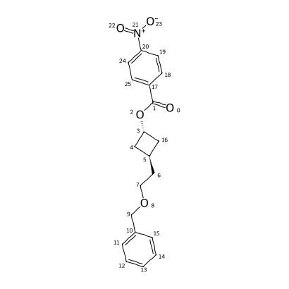 O=C(O[C@H]1C[C@H](CCOCc2ccccc2)C1)c1ccc([N+](=O)[O-])cc1